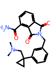 CN(C)CC1(c2cccc(CN3C(=O)c4cccc(C(N)=O)c4C3=O)c2)CC1